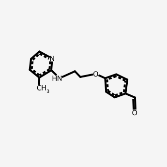 Cc1cccnc1NCCOc1ccc(C=O)cc1